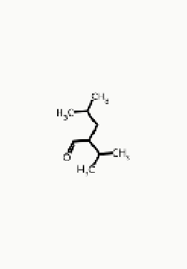 CC(C)CC(C=O)C(C)C